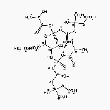 CC(O)C(=O)OP(=O)(OC(=O)CC(O)(CC(=O)O)C(=O)O)OC(C(=O)O)C(OP(=O)(OC(=O)CC(O)(CC(=O)O)C(=O)O)OC(=O)C(C)O)C(=O)O.[NaH].[NaH]